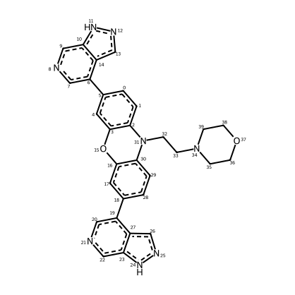 c1cc2c(cc1-c1cncc3[nH]ncc13)Oc1cc(-c3cncc4[nH]ncc34)ccc1N2CCN1CCOCC1